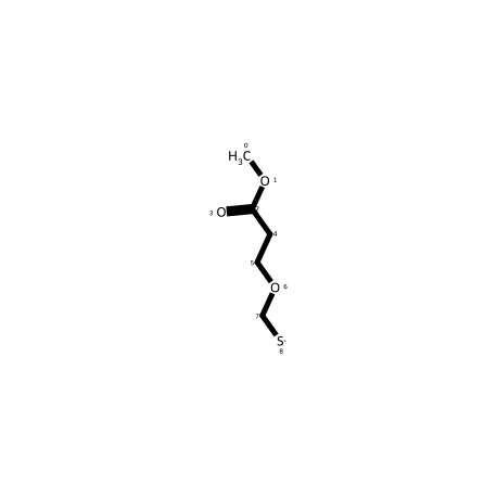 COC(=O)CCOC[S]